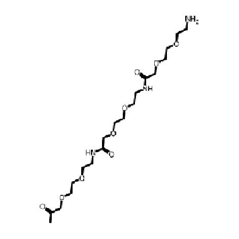 CC(=O)COCCOCCNC(=O)COCCOCCNC(=O)COCCOCCN